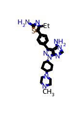 CCc1nc(N)sc1-c1ccc(-c2nn(C3CCC(N4CCN(C)CC4)CC3)c3ncnc(N)c23)cc1